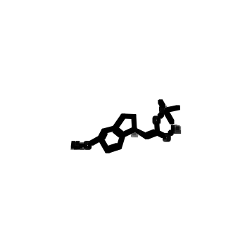 CCOC(=C[C@@H]1CCc2cc(OC)ccc21)O[Si](C)(C)C